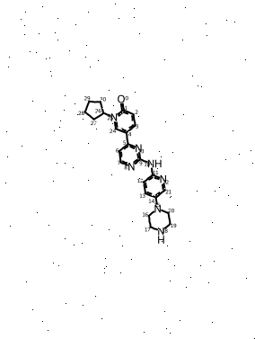 O=c1ccc(-c2ccnc(Nc3ccc(N4CCNCC4)cn3)n2)cn1C1CCCC1